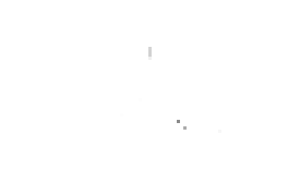 CC(C)S(=O)(=O)C=[N+]=[N-]